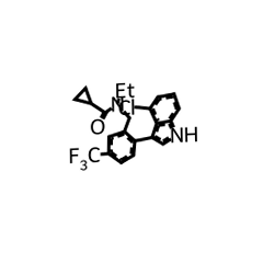 CCN(Cc1cc(C(F)(F)F)ccc1-c1c[nH]c2cccc(Cl)c12)C(=O)C1CC1